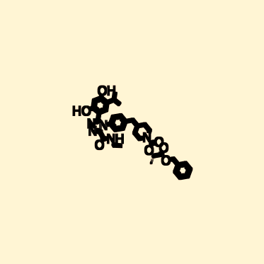 CCNC(=O)c1nnc(-c2cc(C(C)C)c(O)cc2O)n1-c1ccc(CC2CCN(C(=O)O[C@@H](C)C(=O)OCc3ccccc3)CC2)cc1